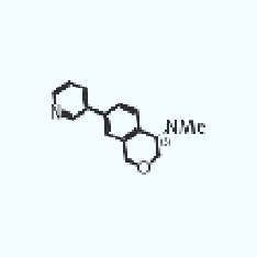 CN[C@@H]1COCc2cc(-c3cccnc3)ccc21